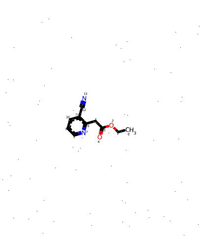 CCOC(=O)Cc1ncccc1C#N